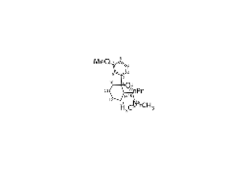 CCCO[C@]1(c2cccc(OC)c2)CCCC[C@@H]1CN(C)C